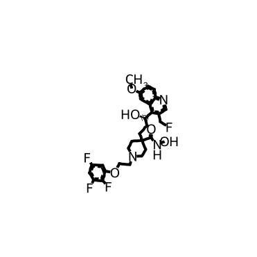 COc1ccc2ncc(CF)c([C@H](O)CCC3(C(=O)NO)CCN(CCOc4cc(F)cc(F)c4F)CC3)c2c1